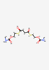 CN(C)C(=O)OCCSC(=O)CCC(=O)SCCOC(=O)N(C)C